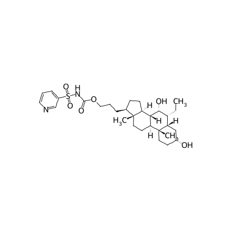 CC[C@H]1[C@@H](O)[C@@H]2[C@H](CC[C@]3(C)[C@@H](CCCOC(=O)NS(=O)(=O)c4cccnc4)CC[C@@H]23)[C@@]2(C)CC[C@@H](O)C[C@@H]12